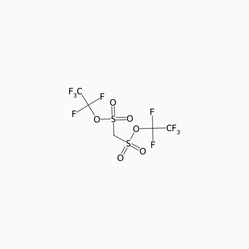 O=S(=O)(CS(=O)(=O)OC(F)(F)C(F)(F)F)OC(F)(F)C(F)(F)F